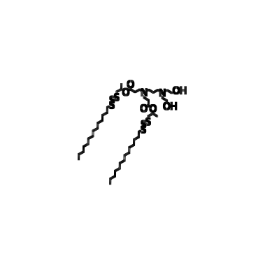 CCCCCCCCCCCCCCSSSCC(C)OC(=O)CCN(CCCN(CCO)CCO)CCC(=O)OC(C)CSSSCCCCCCCCCCCCCC